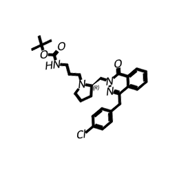 CC(C)(C)OC(=O)NCCCN1CCC[C@@H]1Cn1nc(Cc2ccc(Cl)cc2)c2ccccc2c1=O